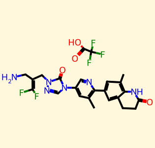 Cc1cc(-n2cnn(CC(CN)=C(F)F)c2=O)cnc1-c1cc(C)c2c(c1)CCC(=O)N2.O=C(O)C(F)(F)F